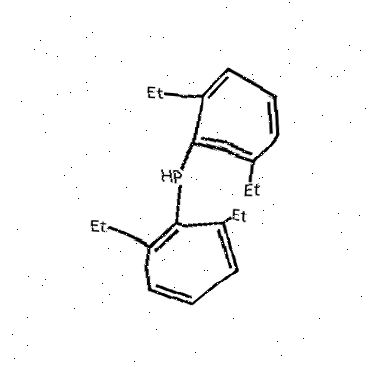 CCc1cccc(CC)c1Pc1c(CC)cccc1CC